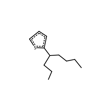 CCCCC(CCC)c1cccs1